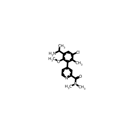 COc1c(C(C)N)cc(Cl)c(C)c1-c1ccnc(C(=O)N(C)C)c1